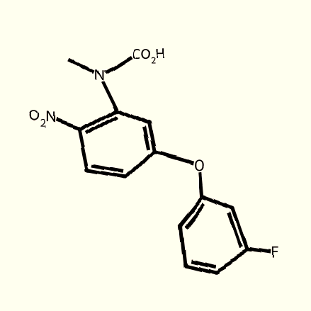 CN(C(=O)O)c1cc(Oc2cccc(F)c2)ccc1[N+](=O)[O-]